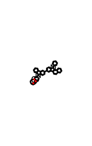 c1ccc(-n2c3ccc(-c4ccc5c(c4)c4ccccc4n5-c4ccc5c(c4)C4CC6CC(CC5C6)C4)cc3c3ccc4ccccc4c32)cc1